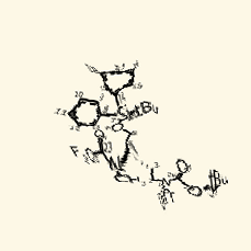 CC(C)N(CC[C@@H](CO[Si](c1ccccc1)(c1ccccc1)C(C)(C)C)N(C)C(=O)C(F)(F)F)C(=O)OC(C)(C)C